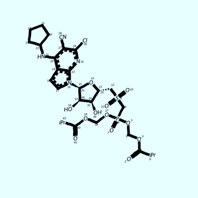 CC(C)C(=O)OCOP(=O)(CS(=O)(=O)C[C@H]1O[C@H](n2ccc3c(NC4CCCC4)c(C#N)c(Cl)nc32)[C@H](O)[C@@H]1O)OCOC(=O)C(C)C